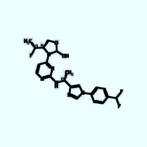 C[C@H](Nc1nccc(N2C(O)OC[C@@H]2[C@H](C)F)n1)c1cn(-c2ccc(C(F)F)cc2)cn1